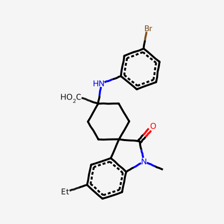 CCc1ccc2c(c1)C1(CCC(Nc3cccc(Br)c3)(C(=O)O)CC1)C(=O)N2C